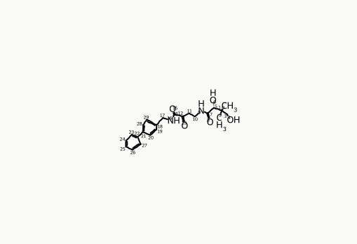 CC(C)(CO)[C@@H](O)C(=O)NCCC(=O)C(=O)NCc1ccc(-c2ccccc2)cc1